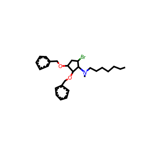 CCCCCCCN(C)C1C(Br)CC(OCc2ccccc2)C1OCc1ccccc1